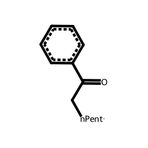 CCCC[CH]CC(=O)c1ccccc1